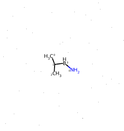 CC(C)BN